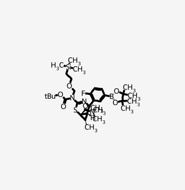 C[C@H]1[C@@H]2[C@@]1(C(=O)N(C)C)SC(N(COCC[Si](C)(C)C)C(=O)OC(C)(C)C)=N[C@]2(C)c1cc(B2OC(C)(C)C(C)(C)O2)ccc1F